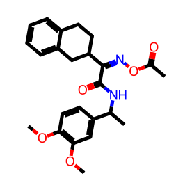 COc1ccc(C(C)NC(=O)C(=NOC(C)=O)C2CCc3ccccc3C2)cc1OC